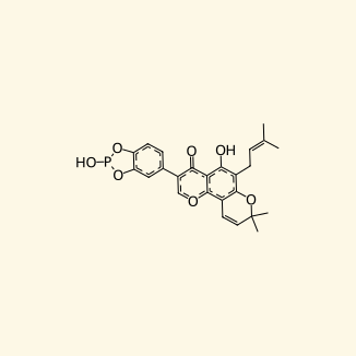 CC(C)=CCc1c2c(c3occ(-c4ccc5c(c4)OP(O)O5)c(=O)c3c1O)C=CC(C)(C)O2